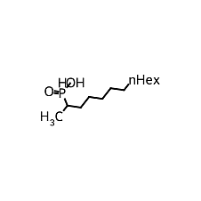 CCCCCCCCCCCC(C)[PH](=O)O